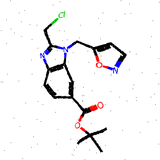 CC(C)(C)OC(=O)c1ccc2nc(CCl)n(Cc3ccno3)c2c1